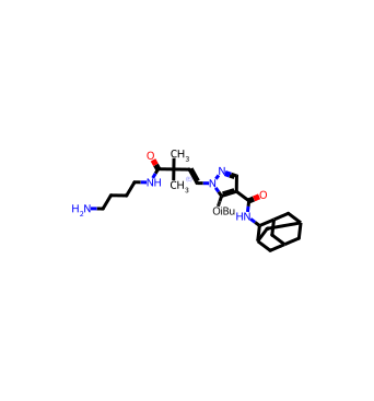 CC(C)COc1c(C(=O)NC2C3CC4CC(C3)CC2C4)cnn1/C=C/C(C)(C)C(=O)NCCCCN